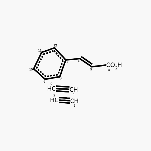 C#C.C#C.O=C(O)C=Cc1ccccc1